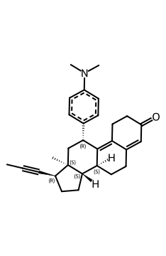 CC#C[C@@H]1CC[C@H]2[C@@H]3CCC4=CC(=O)CCC4=C3[C@@H](c3ccc(N(C)C)cc3)C[C@]12C